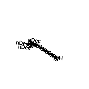 CCCCCCCCCCCCOc1cc(Cn2cc(COCCOCCOCCOCCOCCOCCOCCOCCP(=O)(O)F)nn2)cc(OCCCCCCCCCCCC)c1OCCCCCCCCCCCC